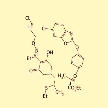 CCOC(=O)[C@@H](C)Oc1ccc(Oc2nc3ccc(Cl)cc3o2)cc1.CCSC(C)CC1CC(=O)C(/C(CC)=N/OC/C=C/Cl)=C(O)C1